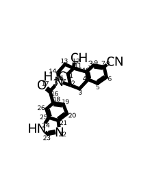 CC1C2Cc3ccc(C#N)cc3C1(C)CCN2C(=O)c1ccc2nc[nH]c2c1